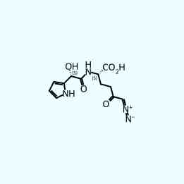 [N-]=[N+]=CC(=O)CC[C@H](NC(=O)[C@@H](O)c1ccc[nH]1)C(=O)O